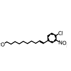 CC(=O)OCCCCCCCCC=Cc1ccc(Cl)c([N+](=O)[O-])c1